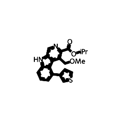 COCc1c(C(=O)OC(C)C)ncc2[nH]c3cccc(-c4ccsc4)c3c12